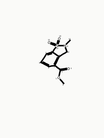 COC(=O)c1cccc2c1CN(C)S2(=O)=O